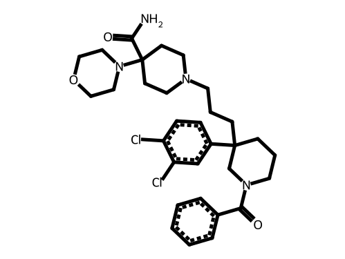 NC(=O)C1(N2CCOCC2)CCN(CCCC2(c3ccc(Cl)c(Cl)c3)CCCN(C(=O)c3ccccc3)C2)CC1